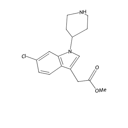 COC(=O)Cc1cn(C2CCNCC2)c2cc(Cl)ccc12